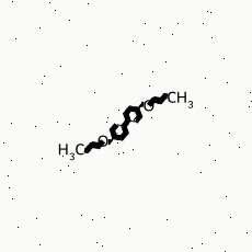 CCC=COC[C@H]1CC[C@H]([C@H]2CC[C@H](COC=CCC)CC2)CC1